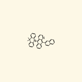 CC1(C)c2ccccc2N(c2c3ccccc3c(-c3ccc4ccccc4c3)c3ncccc23)c2ccccc21